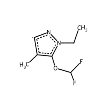 CCn1n[c]c(C)c1OC(F)F